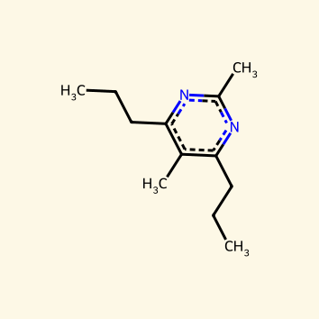 CCCc1nc(C)nc(CCC)c1C